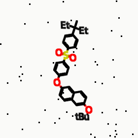 CCC(C)(CC)c1ccc(S(=O)(=O)c2ccc(Oc3ccc4cc(OC(C)(C)C)ccc4c3)cc2)cc1